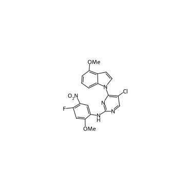 COc1cc(F)c([N+](=O)[O-])cc1Nc1ncc(Cl)c(-n2ccc3c(OC)cccc32)n1